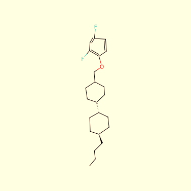 CCCC[C@H]1CC[C@H](C2CCC(COc3ccc(F)cc3F)CC2)CC1